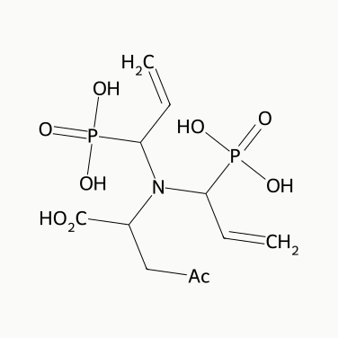 C=CC(N(C(CC(C)=O)C(=O)O)C(C=C)P(=O)(O)O)P(=O)(O)O